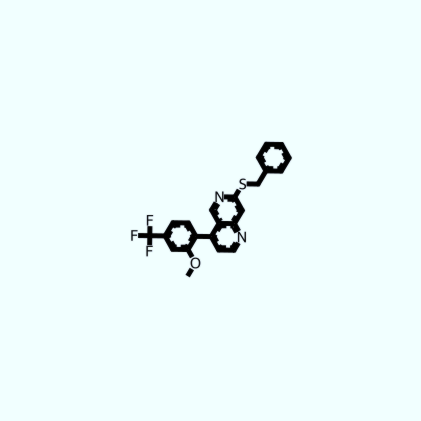 COc1cc(C(F)(F)F)ccc1-c1ccnc2cc(SCc3ccccc3)ncc12